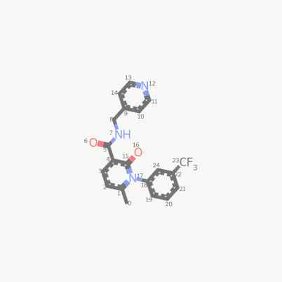 Cc1ccc(C(=O)NCc2ccncc2)c(=O)n1-c1cccc(C(F)(F)F)c1